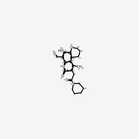 Cc1c(CC(=O)N2CCCCC2)c(=O)oc2c(C=O)c(O)c3c(c12)CCCO3